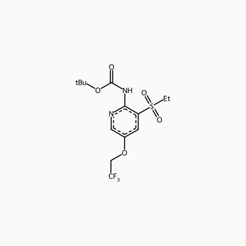 CCS(=O)(=O)c1cc(OCC(F)(F)F)cnc1NC(=O)OC(C)(C)C